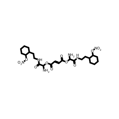 NC(OC(=O)/C=C/C(=O)OC(N)C(=O)NCCC1CCCCC1O[N+](=O)[O-])C(=O)NCCC1CCCCC1O[N+](=O)[O-]